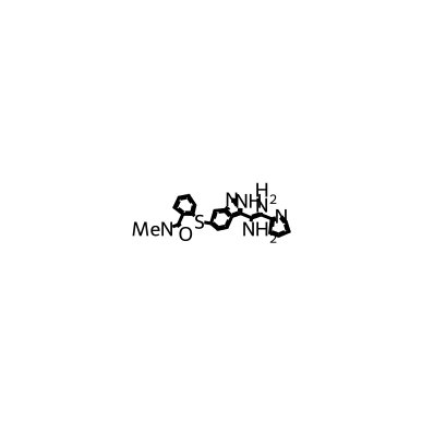 CNC(=O)c1ccccc1Sc1ccc2c(/C(N)=C(\N)c3ccccn3)[nH]nc2c1